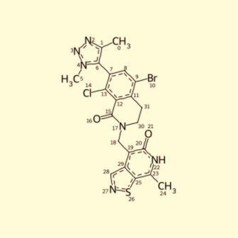 Cc1nnn(C)c1-c1cc(Br)c2c(c1Cl)C(=O)N(Cc1c(=O)[nH]c(C)c3sncc13)CC2